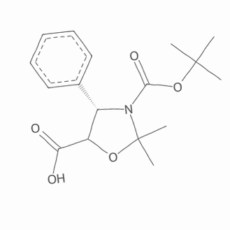 CC(C)(C)OC(=O)N1[C@@H](c2ccccc2)C(C(=O)O)OC1(C)C